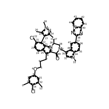 Cc1cc(OCCCc2c3n(c4c(-c5c(C)nn(C)c5C)c(Cl)ccc24)C(C)CN(c2cn(C)c4ccc(-c5nc6ccccn6n5)cc24)C3=O)cc(C)c1Cl